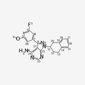 COc1cc(F)cc(-c2nn(C3CCc4ccccc4C3)c3ncnc(N)c23)c1